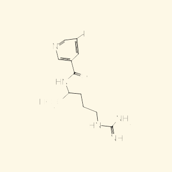 N=C(N)NCCCC(NC(=O)c1cncc(I)c1)C(=O)O